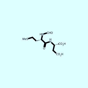 CSCC[C@H](NC=O)C(=O)N[C@@H](CC(=O)O)C(=O)O